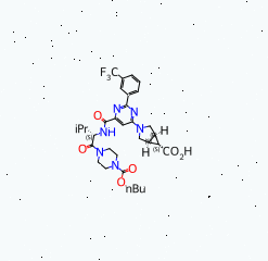 CCCCOC(=O)N1CCN(C(=O)[C@@H](NC(=O)c2cc(N3C[C@@H]4[C@H](C3)[C@@H]4C(=O)O)nc(-c3cccc(C(F)(F)F)c3)n2)C(C)C)CC1